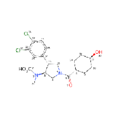 CN(C(=O)O)[C@@H]1CN(C(=O)[C@H]2CC[C@H](O)CC2)C[C@H]1c1ccc(Cl)c(Cl)c1